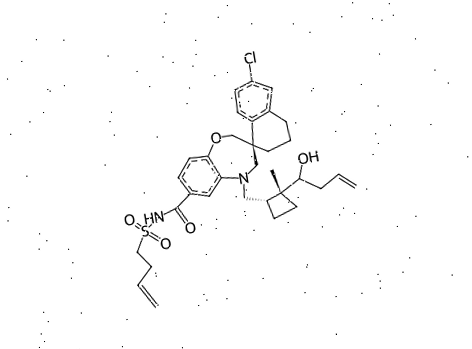 C=CCCS(=O)(=O)NC(=O)c1ccc2c(c1)N(C[C@H]1CC[C@@]1(C)C(O)CC=C)C[C@@]1(CCCc3cc(Cl)ccc31)CO2